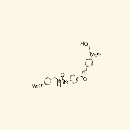 CCCN(CCO)c1ccc(/C=C/C(=O)c2ccc(NC(=O)NCc3ccc(OC)cc3)cc2)cc1